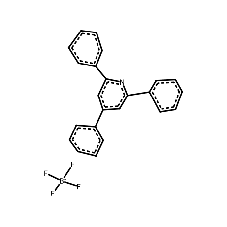 F[B-](F)(F)F.c1ccc(-c2cc(-c3ccccc3)nc(-c3ccccc3)c2)cc1